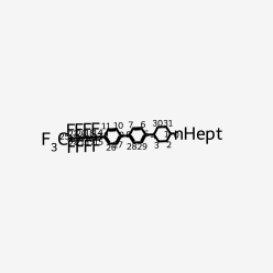 CCCCCCCC1CCC(c2ccc(-c3ccc(C(F)(F)C(F)(F)C(F)(F)C(F)(F)C(F)(F)F)cc3)cc2)CC1